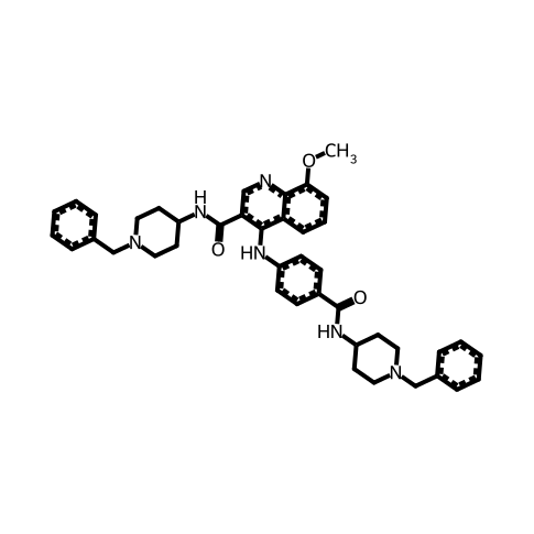 COc1cccc2c(Nc3ccc(C(=O)NC4CCN(Cc5ccccc5)CC4)cc3)c(C(=O)NC3CCN(Cc4ccccc4)CC3)cnc12